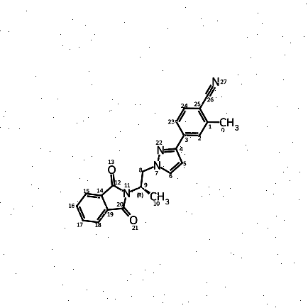 Cc1cc(-c2ccn(C[C@@H](C)N3C(=O)c4ccccc4C3=O)n2)ccc1C#N